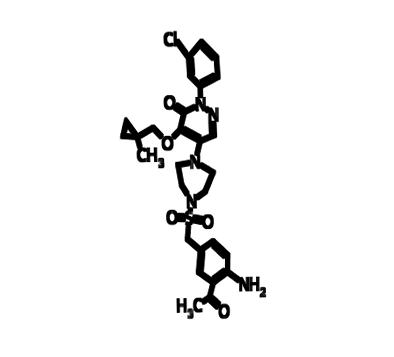 CC(=O)c1cc(CS(=O)(=O)N2CCN(c3cnn(-c4cccc(Cl)c4)c(=O)c3OCC3(C)CC3)CC2)ccc1N